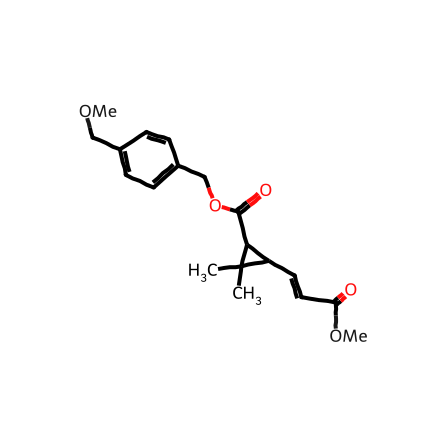 COCc1ccc(COC(=O)C2C(/C=C/C(=O)OC)C2(C)C)cc1